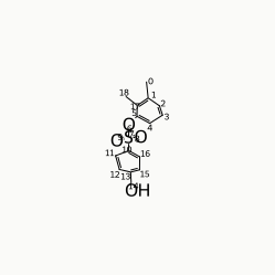 Cc1cccc(OS(=O)(=O)c2ccc(O)cc2)c1C